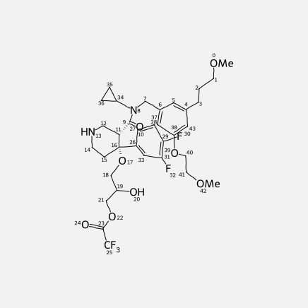 COCCCc1cc(CN(C(=O)[C@H]2CNCC[C@]2(OCC(O)COC(=O)C(F)(F)F)c2ccc(F)c(F)c2)C2CC2)cc(OCCOC)c1